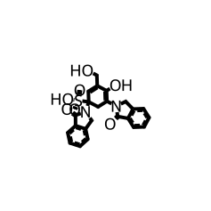 O=C1c2ccccc2CN1C1=C(O)C(CO)=CC(N2Cc3ccccc3C2=O)(S(=O)(=O)O)C1